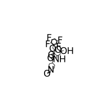 O=CN1CCC(C(=O)NC(CC(=O)O)C(=O)COc2c(F)c(F)cc(F)c2F)CC1